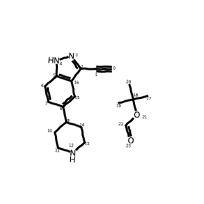 C#Cc1n[nH]c2ccc(C3CCNCC3)cc12.CC(C)(C)OC=O